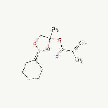 C=C(C)C(=O)OC1(C)COC(=C2CCCCC2)O1